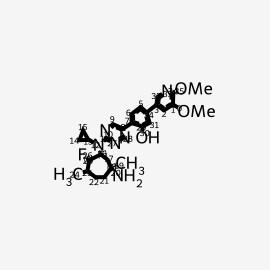 COc1cc(-c2ccc(-c3cnc(N(C4CC4)[C@H]4C[C@@](C)(N)CCC(C)[C@H]4F)nn3)c(O)c2)cnc1OC